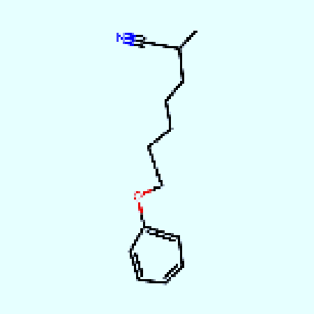 CC(C#N)CCCCCOc1ccccc1